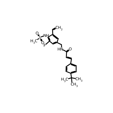 C=Cc1cc(CNC(=O)C=Cc2ccc(C(C)(C)C)cc2)cc(F)c1NS(C)(=O)=O